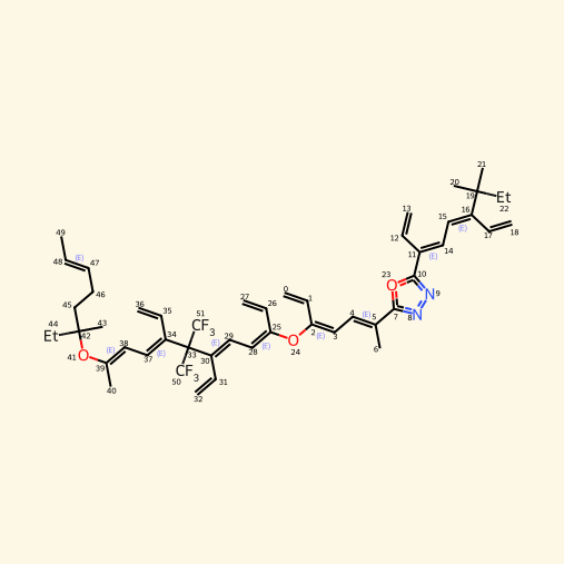 C=C/C(=C\C=C(/C)c1nnc(/C(C=C)=C/C=C(\C=C)C(C)(C)CC)o1)O/C(C=C)=C/C=C(\C=C)C(/C(C=C)=C/C=C(\C)OC(C)(CC)CC/C=C/C)(C(F)(F)F)C(F)(F)F